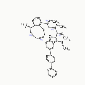 C=CC(=C\C(=C/C)c1cccc2c1SC/C=C\C=C/C2=C)/C(=N/C)c1oc2ccc(-c3ccc(-c4ccccc4)cc3)cc2c1N=C